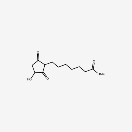 COC(=O)CCCCCCC1C(=O)CC(O)C1=O